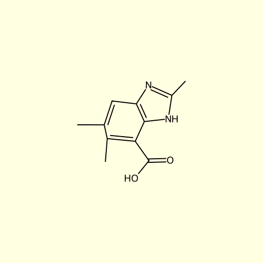 Cc1nc2cc(C)c(C)c(C(=O)O)c2[nH]1